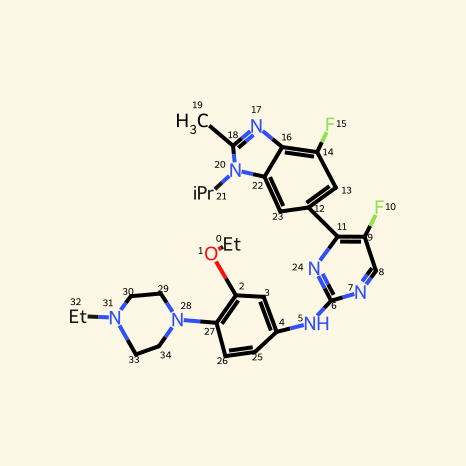 CCOc1cc(Nc2ncc(F)c(-c3cc(F)c4nc(C)n(C(C)C)c4c3)n2)ccc1N1CCN(CC)CC1